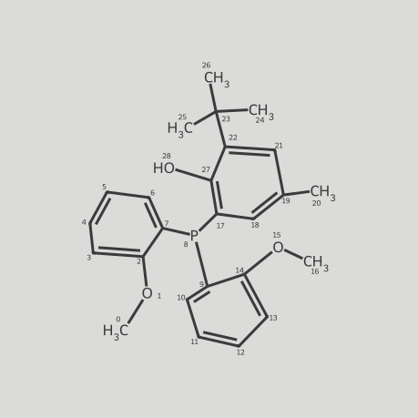 COc1ccccc1P(c1ccccc1OC)c1cc(C)cc(C(C)(C)C)c1O